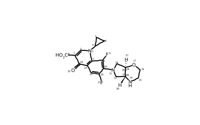 O=C(O)c1cn(C2CC2)c2c(F)c(N3C[C@H]4NCCO[C@@H]4C3)c(F)cc2c1=O